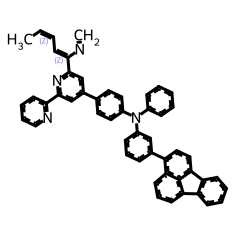 C=N/C(=C\C=C/C)c1cc(-c2ccc(N(c3ccccc3)c3cccc(-c4ccc5c6c(cccc46)-c4ccccc4-5)c3)cc2)cc(-c2ccccn2)n1